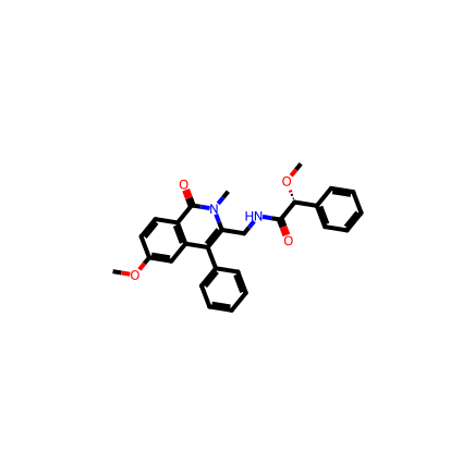 COc1ccc2c(=O)n(C)c(CNC(=O)[C@H](OC)c3ccccc3)c(-c3ccccc3)c2c1